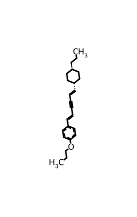 CCCOc1ccc(/C=C/C#C/C=C/[C@H]2CC[C@H](CCC)CC2)cc1